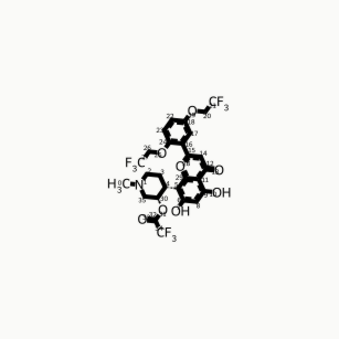 CN1CC[C@H](c2c(O)cc(O)c3c(=O)cc(-c4cc(OCC(F)(F)F)ccc4OCC(F)(F)F)oc23)[C@H](OC(=O)C(F)(F)F)C1